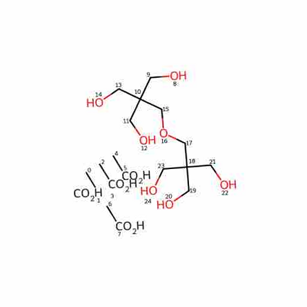 CC(=O)O.CC(=O)O.CC(=O)O.CC(=O)O.OCC(CO)(CO)COCC(CO)(CO)CO